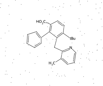 Cc1cccnc1Cc1c(C(C)(C)C)ccc(C(=O)O)c1-c1ccccc1